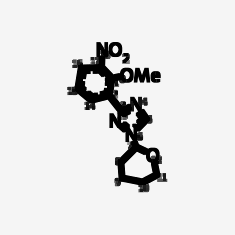 COc1c(-c2ncn(C3CCCCO3)n2)cccc1[N+](=O)[O-]